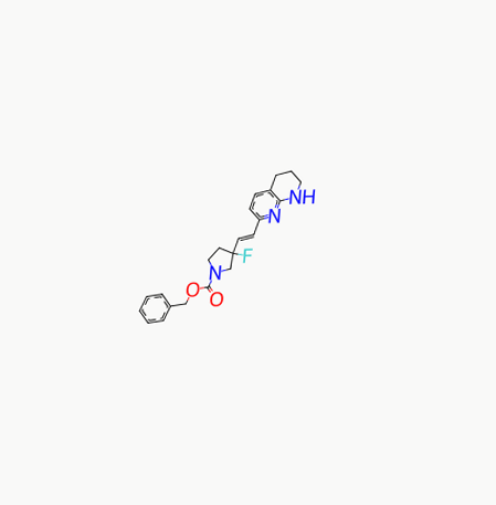 O=C(OCc1ccccc1)N1CCC(F)(C=Cc2ccc3c(n2)NCCC3)C1